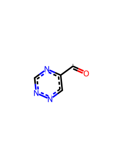 O=[C]c1cnncn1